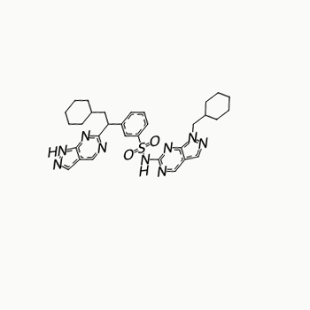 O=S(=O)(Nc1ncc2cnn(CC3CCCCC3)c2n1)c1cccc(C(CC2CCCCC2)c2ncc3cn[nH]c3n2)c1